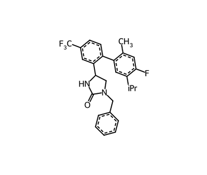 Cc1cc(F)c(C(C)C)cc1-c1ccc(C(F)(F)F)cc1C1CN(Cc2ccccc2)C(=O)N1